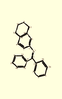 c1ccc(C(=Nc2ccc3c(c2)CCCC3)c2ccccc2)cc1